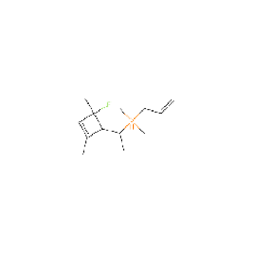 C=CC[PH](C)(C)C(C)C1C(C)=CC1(C)F